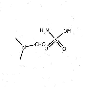 CN(C)C=O.NS(=O)(=O)O